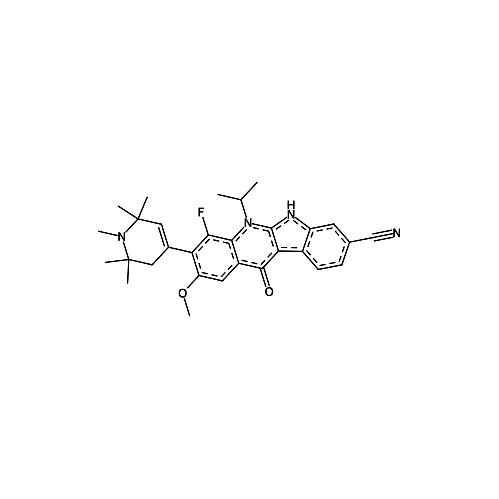 COc1cc2c(=O)c3c4ccc(C#N)cc4[nH]c3n(C(C)C)c2c(F)c1C1=CC(C)(C)N(C)C(C)(C)C1